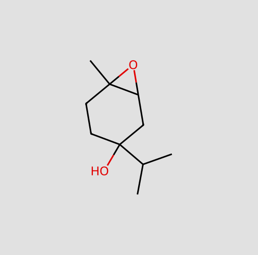 CC(C)C1(O)CCC2(C)OC2C1